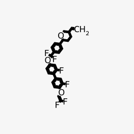 C=CC1CCC(c2ccc(C(F)(F)Oc3ccc(-c4ccc(OC=C(F)F)c(F)c4)c(F)c3)cc2)OC1